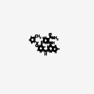 CN1CCC[C@H]1COc1ccc(Nc2nc(N[C@@H]3C4C=CC(C4)[C@@H]3C(N)=O)c3sccc3n2)cc1F